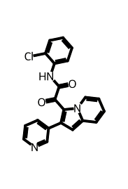 O=C(Nc1ccccc1Cl)C(=O)c1c(-c2cccnc2)cc2ccccn12